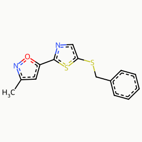 Cc1cc(-c2ncc(SCc3ccccc3)s2)on1